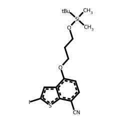 CC(C)(C)[Si](C)(C)OCCCOc1ccc(C#N)c2sc(I)cc12